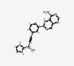 Nc1ncnc2cnc(-c3cccc(C#C[C@@H](O)c4nccs4)c3)nc12